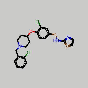 Clc1ccccc1CN1CCC(Oc2ccc(SNc3nccs3)cc2Cl)CC1